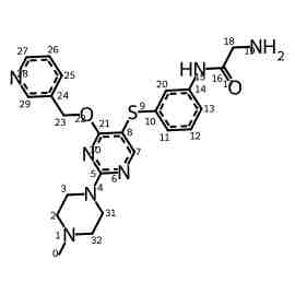 CN1CCN(c2ncc(Sc3cccc(NC(=O)CN)c3)c(OCc3cccnc3)n2)CC1